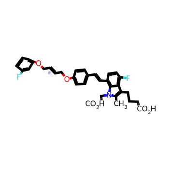 Cc1c(CCCC(=O)O)c2c(F)ccc(C=Cc3ccc(OC/C=C/COc4cccc(F)c4)cc3)c2n1CC(=O)O